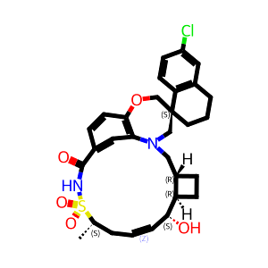 C[C@H]1C/C=C\[C@@H](O)[C@@H]2CC[C@H]2CN2C[C@@]3(CCCc4cc(Cl)ccc43)COc3ccc(cc32)C(=O)NS1(=O)=O